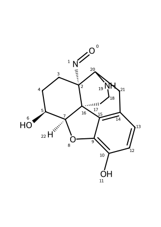 O=N[C@@]12CC[C@H](O)[C@@H]3Oc4c(O)ccc5c4[C@@]31CCNC2C5